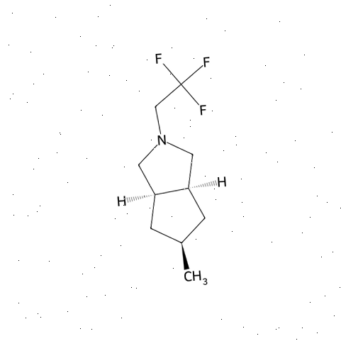 C[C@@H]1C[C@@H]2CN(CC(F)(F)F)C[C@@H]2C1